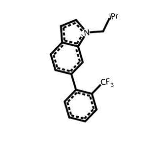 CC(C)Cn1ccc2ccc(-c3ccccc3C(F)(F)F)cc21